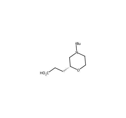 CC(C)(C)N1CCO[C@H](CCC(=O)O)C1